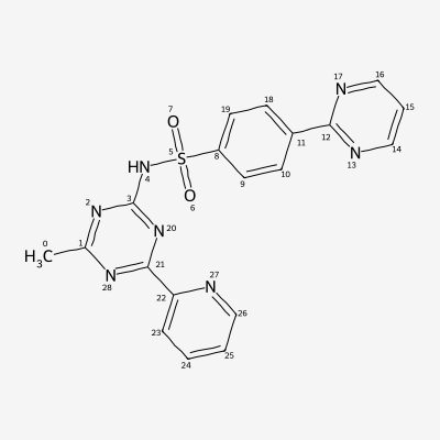 Cc1nc(NS(=O)(=O)c2ccc(-c3ncccn3)cc2)nc(-c2ccccn2)n1